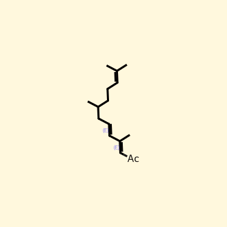 CC(=O)/C=C(C)/C=C/CC(C)CCC=C(C)C